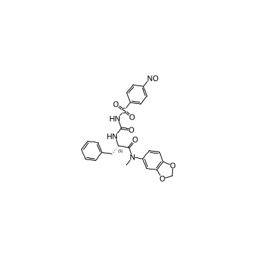 CN(C(=O)[C@H](Cc1ccccc1)NC(=O)NS(=O)(=O)c1ccc(N=O)cc1)c1ccc2c(c1)OCO2